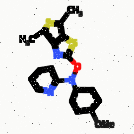 COc1ccc(N(Oc2nc3c(C)sc(C)c3s2)c2ccccn2)cc1